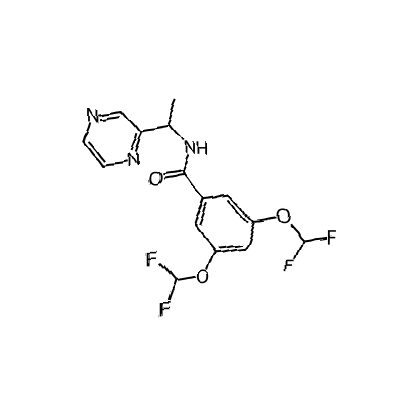 CC(NC(=O)c1cc(OC(F)F)cc(OC(F)F)c1)c1cnccn1